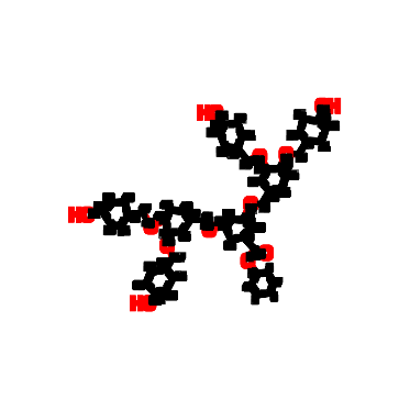 O=C(Oc1ccccc1)c1cc(OCc2ccc(OCc3ccc(O)cc3)c(OCc3ccc(O)cc3)c2)cc(OCc2ccc(OCc3ccc(O)cc3)c(OCc3ccc(O)cc3)c2)c1